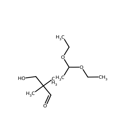 CC(C)(C=O)CO.CCOC(C)OCC